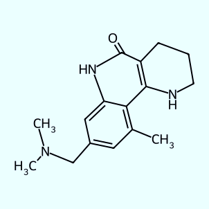 Cc1cc(CN(C)C)cc2[nH]c(=O)c3c(c12)NCCC3